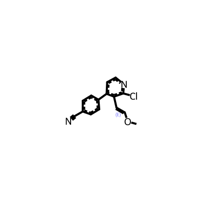 CO/C=C/c1c(-c2ccc(C#N)cc2)ccnc1Cl